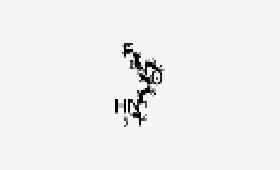 C[C@@H](I)NCCC[C@H]1CN(CCF)CCO1